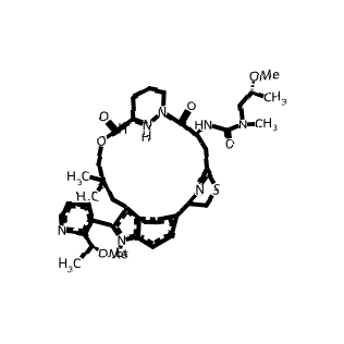 CCn1c(-c2cccnc2[C@H](C)OC)c2c3cc(ccc31)C1CSC(=N1)C[C@H](NC(=O)N(C)C[C@@H](C)OC)C(=O)N1CCC[C@H](N1)C(=O)OCC(C)(C)C2